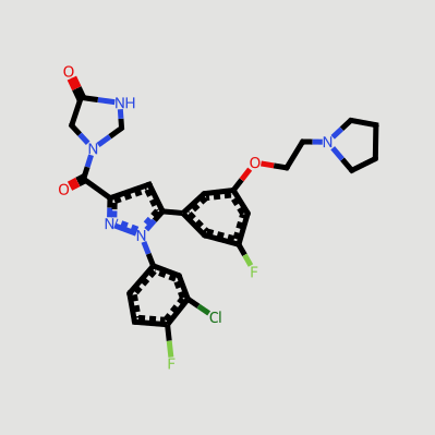 O=C1CN(C(=O)c2cc(-c3cc(F)cc(OCCN4CCCC4)c3)n(-c3ccc(F)c(Cl)c3)n2)CN1